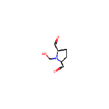 O=CC1CCC(C=O)N1CO